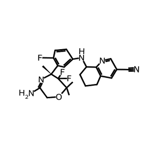 CC1(C)OCC(N)=N[C@](C)(c2cc(NC3CCCc4cc(C#N)cnc43)ccc2F)C1(F)F